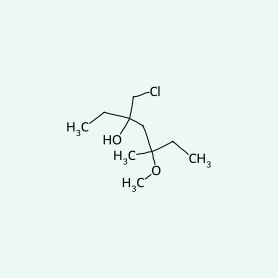 CCC(O)(CCl)CC(C)(CC)OC